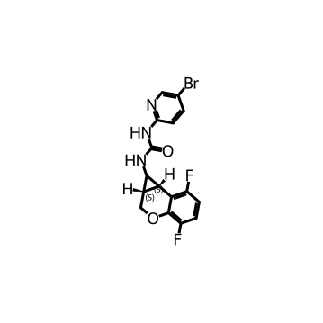 O=C(Nc1ccc(Br)cn1)NC1[C@H]2COc3c(F)ccc(F)c3[C@@H]12